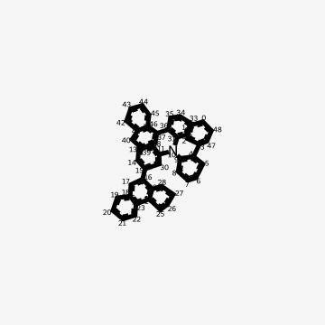 c1ccc(-c2ccccc2N(c2cccc(-c3cc4ccccc4c4ccccc34)c2)c2ccccc2-c2cccc3ccccc23)cc1